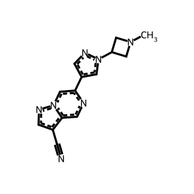 CN1CC(n2cc(-c3cn4ncc(C#N)c4cn3)cn2)C1